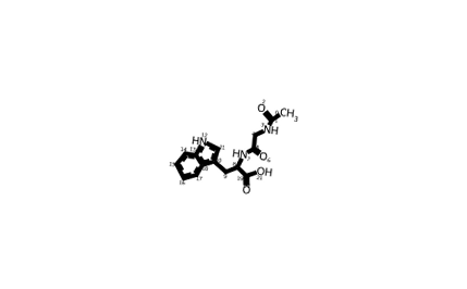 CC(=O)NCC(=O)NC(Cc1c[nH]c2ccccc12)C(=O)O